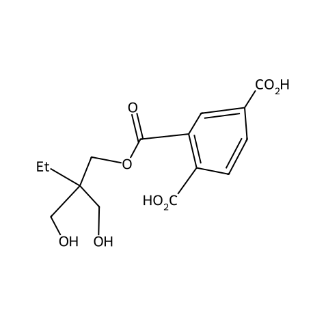 CCC(CO)(CO)COC(=O)c1cc(C(=O)O)ccc1C(=O)O